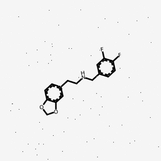 Fc1ccc(CNCCc2ccc3c(c2)OCO3)cc1F